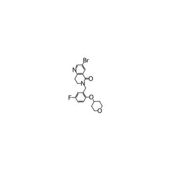 O=C1c2cc(Br)cnc2CCN1Cc1cc(F)ccc1OC1CCOCC1